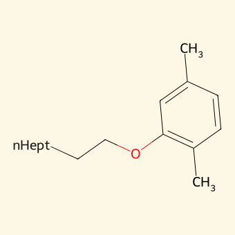 CCCCCCCCCOc1cc(C)ccc1C